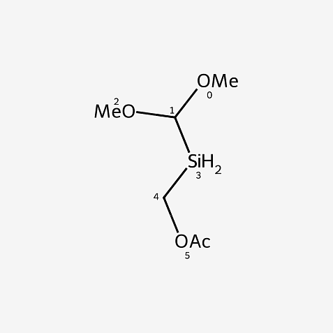 COC(OC)[SiH2]COC(C)=O